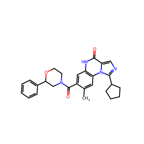 Cc1cc2c(cc1C(=O)N1CCOC(c3ccccc3)C1)[nH]c(=O)c1cnc(C3CCCC3)n12